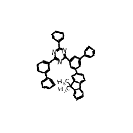 CC1(C)c2ccccc2-c2ccc(-c3cc(-c4ccccc4)cc(-c4nc(-c5ccccc5)nc(-c5cccc(-c6ccccc6)c5)n4)c3)cc21